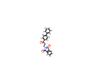 O=C(CCN1C(=O)C2C3C=CC(C3)C2C1=O)c1ccc(-c2ccccc2)cc1